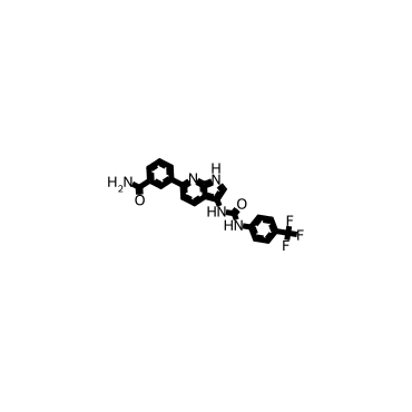 NC(=O)c1cccc(-c2ccc3c(NC(=O)Nc4ccc(C(F)(F)F)cc4)c[nH]c3n2)c1